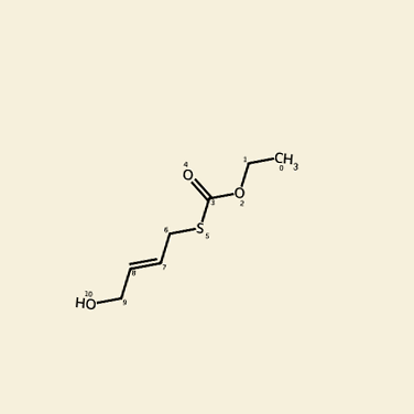 CCOC(=O)SC/C=C/CO